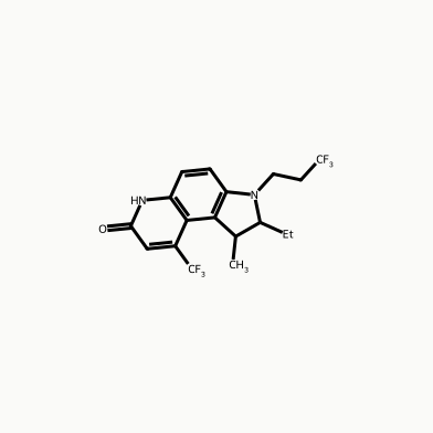 CCC1C(C)c2c(ccc3[nH]c(=O)cc(C(F)(F)F)c23)N1CCC(F)(F)F